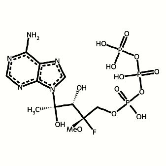 CO[C@](F)(COP(=O)(O)OP(=O)(O)OP(=O)(O)O)[C@@H](O)[C@@](C)(O)n1cnc2c(N)ncnc21